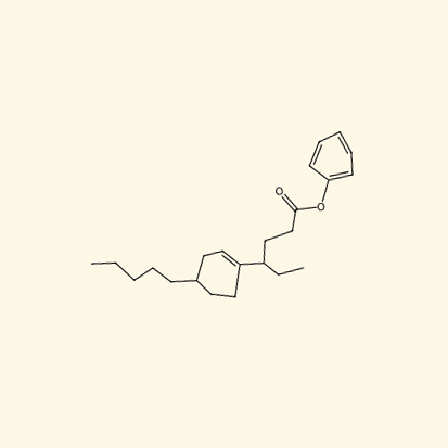 CCCCCC1CC=C(C(CC)CCC(=O)Oc2ccccc2)CC1